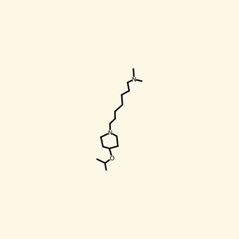 CC(C)OC1CCN(CCCCCCCN(C)C)CC1